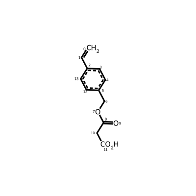 C=Cc1ccc(COC(=O)CC(=O)O)cc1